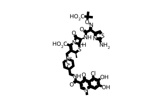 C[C@@H]1S[C@@H]2[C@H](NC(=O)/C(=N\OC(C)(C)C(=O)O)c3csc(N)n3)C(=O)N2C(C(=O)O)=C1C[N+]12CCC(CNC(=O)c3cn(C)c4cc(O)c(O)c(Cl)c4c3=O)(CC1)CC2